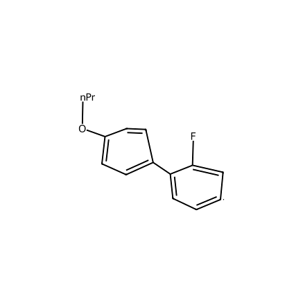 CCCOc1ccc(-c2cc[c]cc2F)cc1